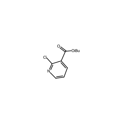 CC(C)COC(=O)c1cccnc1Cl